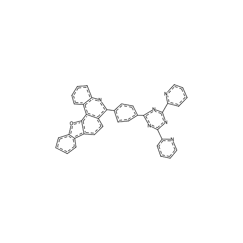 c1ccc(-c2nc(-c3ccc(-c4nc5ccccc5c5c4ccc4c6ccccc6oc45)cc3)nc(-c3ccccn3)n2)nc1